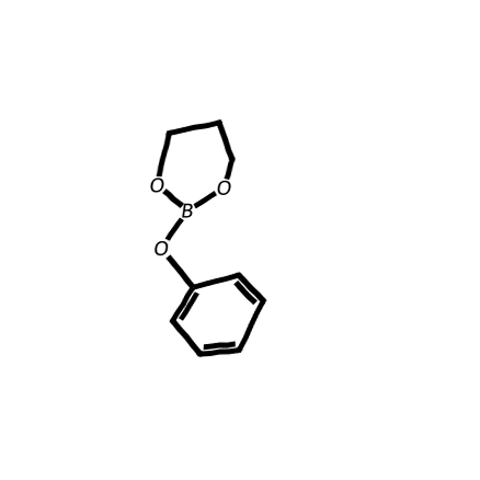 c1ccc(OB2OCCCO2)cc1